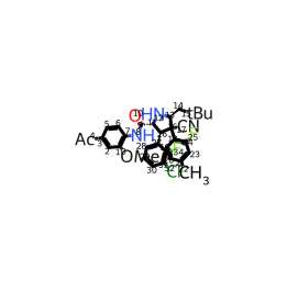 COc1cc(C(C)=O)ccc1NC(=O)[C@@H]1N[C@@H](CC(C)(C)C)[C@](C#N)(c2ccc(C)cc2F)[C@H]1c1cccc(Cl)c1F